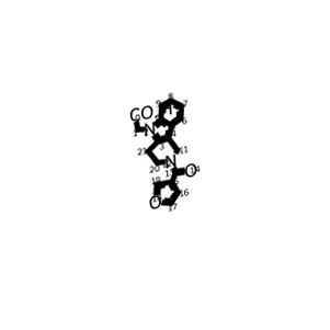 O=C(O)Cn1c2c(c3ccccc31)CN(C(=O)c1ccoc1)CC2